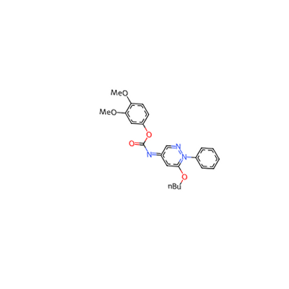 CCCCOc1cc(=NC(=O)Oc2ccc(OC)c(OC)c2)cnn1-c1ccccc1